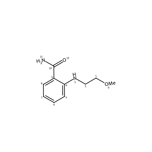 COCCNc1ccccc1C(N)=O